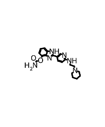 NC(=O)Oc1cccc2[nH]c(-c3ccc(NCCN4CCCCC4)nc3)nc12